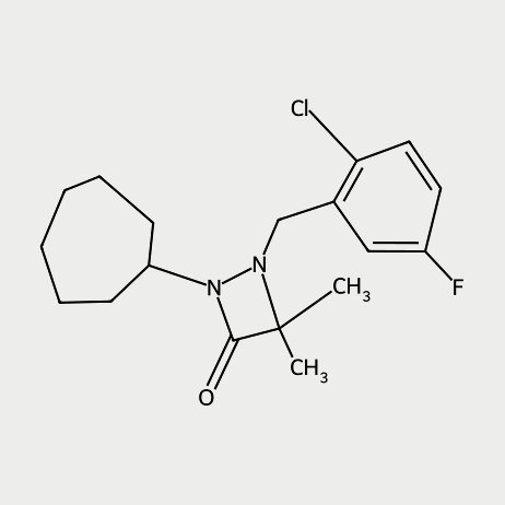 CC1(C)C(=O)N(C2CCCCCC2)N1Cc1cc(F)ccc1Cl